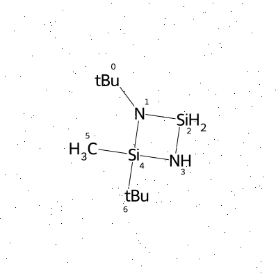 CC(C)(C)N1[SiH2]N[Si]1(C)C(C)(C)C